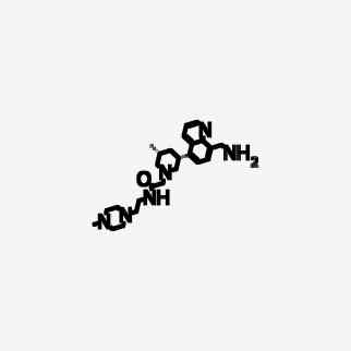 C[C@@H]1C[C@H](c2ccc(CN)c3ncccc23)CN(CC(=O)NCCN2CCN(C)CC2)C1